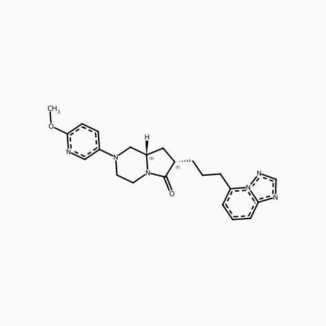 COc1ccc(N2CCN3C(=O)[C@@H](CCCc4cccc5ncnn45)C[C@H]3C2)cn1